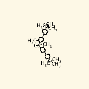 Cc1cc(-c2ccc([Si](C)(C)C)cc2)ccc1[S+]([O-])c1ccc(-c2ccc([Si](C)(C)C)cc2)cc1C